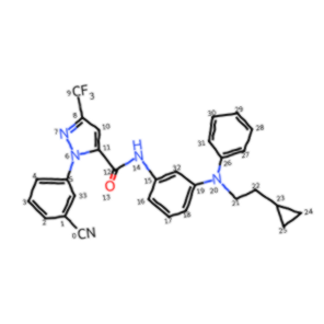 N#Cc1cccc(-n2nc(C(F)(F)F)cc2C(=O)Nc2cccc(N(CCC3CC3)c3ccccc3)c2)c1